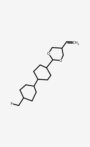 C=CC1COC(C2CCC(C3CCC(CF)CC3)CC2)OC1